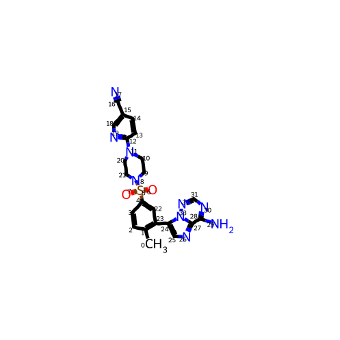 Cc1ccc(S(=O)(=O)N2CCN(c3ccc(C#N)cn3)CC2)cc1-c1cnc2c(N)ncnn12